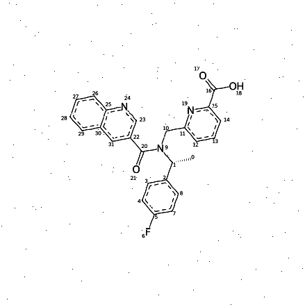 C[C@H](c1ccc(F)cc1)N(Cc1cccc(C(=O)O)n1)C(=O)c1cnc2ccccc2c1